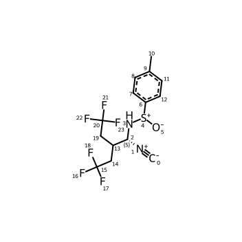 [C-]#[N+][C@@H](N[S+]([O-])c1ccc(C)cc1)C(CC(F)(F)F)CC(F)(F)F